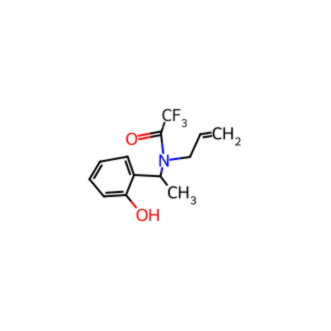 C=CCN(C(=O)C(F)(F)F)C(C)c1ccccc1O